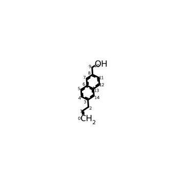 C=CCc1ccc2cc(CO)ccc2c1